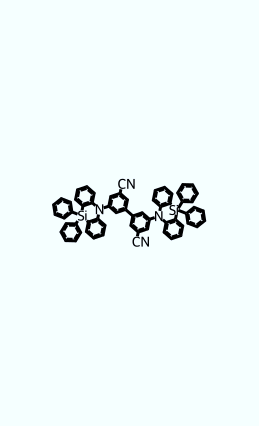 N#Cc1cc(-c2cc(C#N)cc(N3c4ccccc4[Si](c4ccccc4)(c4ccccc4)c4ccccc43)c2)cc(N2c3ccccc3[Si](c3ccccc3)(c3ccccc3)c3ccccc32)c1